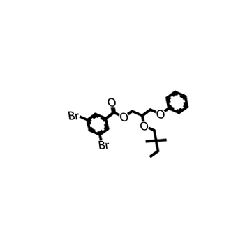 CCC(C)(C)COC(COC(=O)c1cc(Br)cc(Br)c1)COc1ccccc1